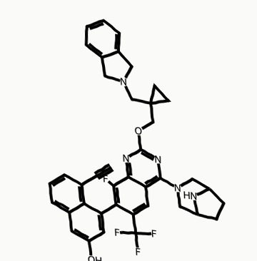 C#Cc1cccc2cc(O)cc(-c3c(C(F)(F)F)cc4c(N5CC6CCC(C5)N6)nc(OCC5(CN6Cc7ccccc7C6)CC5)nc4c3F)c12